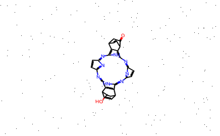 O=C1CC2C=CC1c1c2c2nc3nc(nc4[nH]c(nc5nc(nc1[nH]2)C=C5)c1c4C2C=CC1CC2O)C=C3